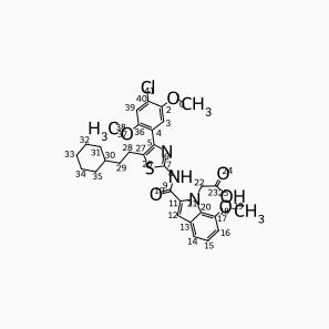 COc1cc(-c2nc(NC(=O)c3cc4cccc(OC)c4n3CC(=O)O)sc2CCC2CCCCC2)c(OC)cc1Cl